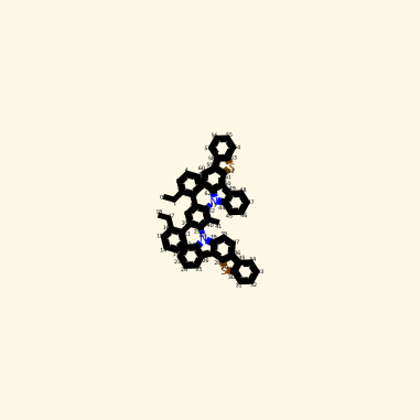 CCc1ccccc1-c1cc(-c2ccccc2CC)c(-n2c3ccccc3c3c4sc5ccccc5c4ccc32)c(C)c1-n1c2ccccc2c2c3sc4ccccc4c3ccc21